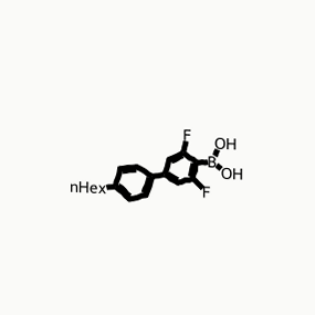 CCCCCCc1ccc(-c2cc(F)c(B(O)O)c(F)c2)cc1